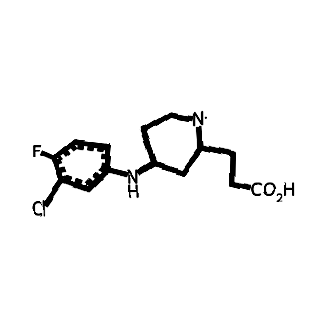 O=C(O)CCC1CC(Nc2ccc(F)c(Cl)c2)CC[N]1